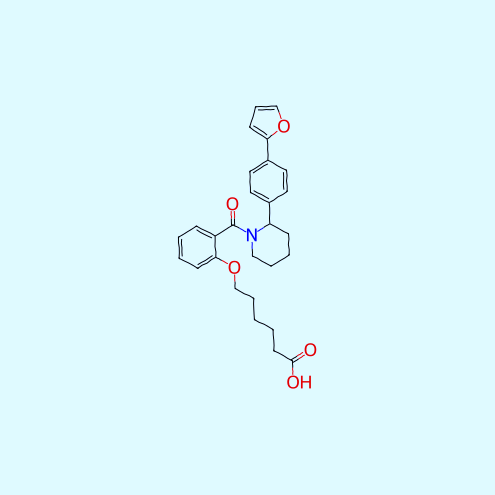 O=C(O)CCCCCOc1ccccc1C(=O)N1CCCCC1c1ccc(-c2ccco2)cc1